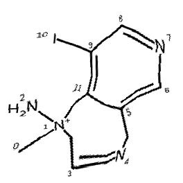 C[N+]1(N)C=Nc2cncc(I)c21